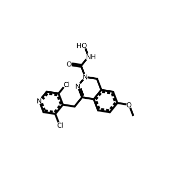 COc1ccc2c(c1)CN(C(=O)NO)N=C2Cc1c(Cl)cncc1Cl